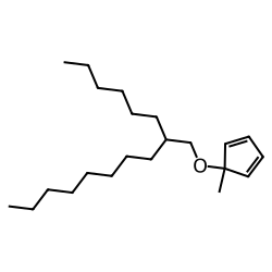 CCCCCCCCC(CCCCCC)COC1(C)C=CC=C1